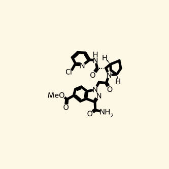 COC(=O)c1ccc2c(c1)c(C(N)=O)nn2CC(=O)N1[C@@H]2CC[C@@H](C2)[C@H]1C(=O)Nc1cccc(Cl)n1